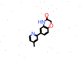 Cc1ccnc(-c2ccc3c(c2)NC(=O)CO3)c1